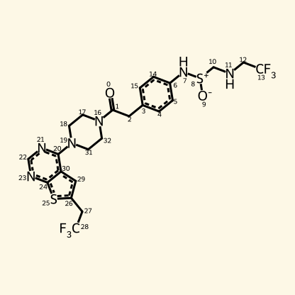 O=C(Cc1ccc(N[S+]([O-])CNCC(F)(F)F)cc1)N1CCN(c2ncnc3sc(CC(F)(F)F)cc23)CC1